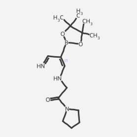 CC1(C)OB(/C(C=N)=C/NCC(=O)N2CCCC2)OC1(C)C